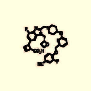 N#Cc1ccc(OCc2cccc(OC3CCN(Cc4nc5c(F)cc(C6C#CC6C(=O)O)cc5n4C[C@@H]4CCO4)CC3)n2)c(F)c1